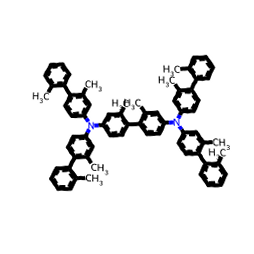 Cc1ccccc1-c1ccc(N(c2ccc(-c3ccccc3C)c(C)c2)c2ccc(-c3ccc(N(c4ccc(-c5ccccc5C)c(C)c4)c4ccc(-c5ccccc5C)c(C)c4)cc3C)c(C)c2)cc1C